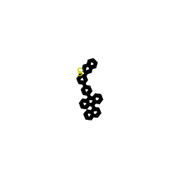 c1ccc2cc3c(cc2c1)sc1ccc(-c2ccc(-c4c5ccccc5c(-c5cccc6ccccc56)c5ccccc45)cc2)cc13